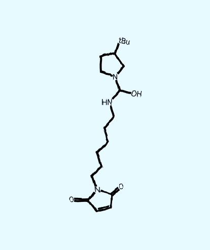 CC(C)(C)C1CCN(C(O)NCCCCCCN2C(=O)C=CC2=O)C1